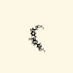 COCc1cnc2ccc(Cn3[nH]c4ncc(-c5cnn(C)c5)nc43)cn12